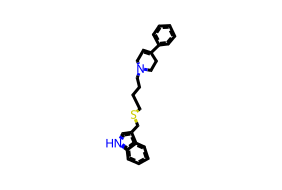 C1=C(c2ccccc2)CCN(CCCCSCc2c[nH]c3ccccc23)C1